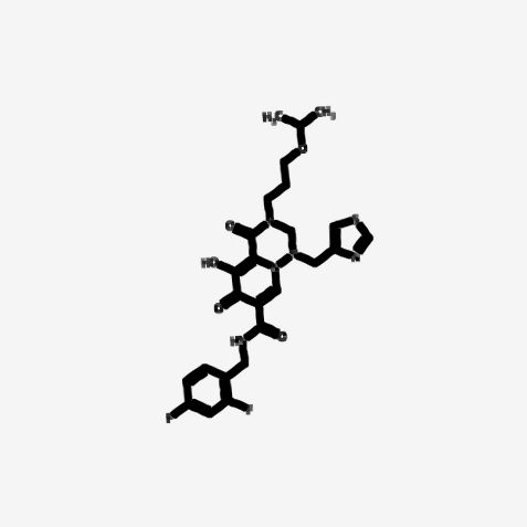 CC(C)OCCCN1CN(Cc2cscn2)n2cc(C(=O)NCc3ccc(F)cc3F)c(=O)c(O)c2C1=O